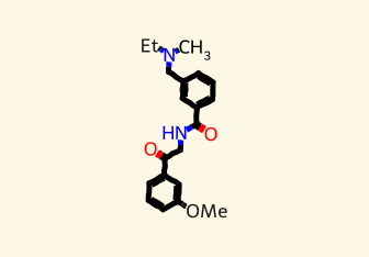 CCN(C)Cc1cccc(C(=O)NCC(=O)c2cccc(OC)c2)c1